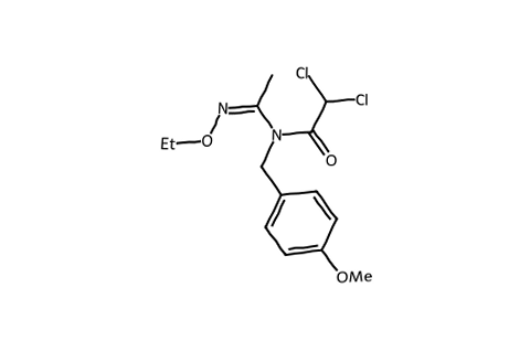 CCO/N=C(/C)N(Cc1ccc(OC)cc1)C(=O)C(Cl)Cl